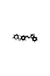 c1ccc2c(c1)ncn2CCc1ccc(OC2CCCCO2)cc1